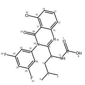 CC(C)CC(NC(=O)O)c1nc2cccc(Cl)c2c(=O)n1-c1cc(F)cc(F)c1